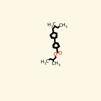 CCC(C)COC(=O)c1ccc(-c2ccc(CC(C)CC)cc2)cc1